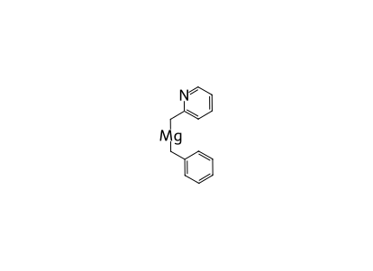 c1ccc([CH2][Mg][CH2]c2ccccn2)cc1